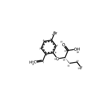 C=Cc1ccc(Br)cc1O[C@@H](CCF)C(=O)O